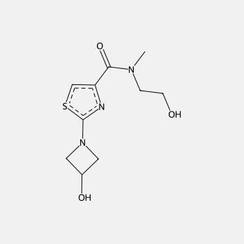 CN(CCO)C(=O)c1csc(N2CC(O)C2)n1